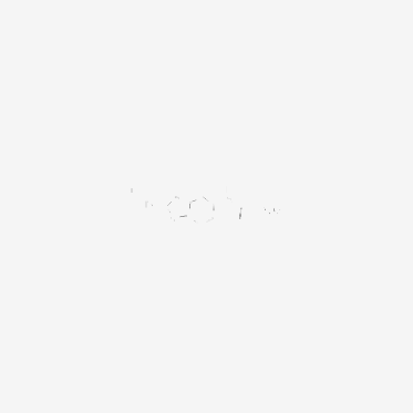 CNCC(=O)Nc1ccc2[nH]c(NC=O)cc2c1